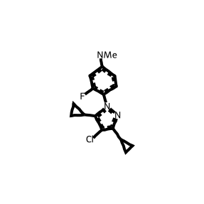 CNc1ccc(-n2nc(C3CC3)c(Cl)c2C2CC2)c(F)c1